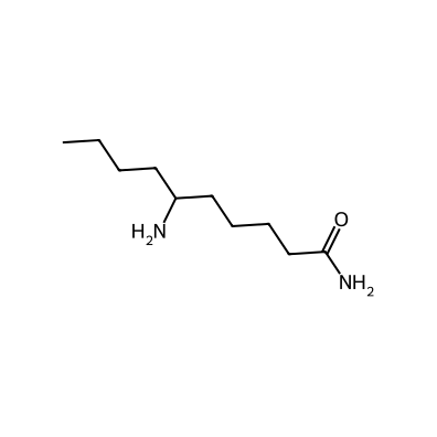 CCCCC(N)CCCCC(N)=O